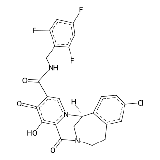 O=C(NCc1c(F)cc(F)cc1F)c1cn2c(c(O)c1=O)C(=O)N1CCc3cc(Cl)ccc3[C@H]2C1